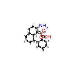 Nc1ccc2cccc(-c3ccccc3)c2c1S(=O)(=O)O